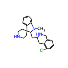 CN1c2ccccc2C2(CCNCC2)C1CC1Cc2c(Cl)cccc2CN1